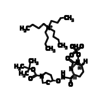 CC(C)(C)OC(=O)N1CCC(ONC(=O)[C@@H]2CC[C@@H]3CN2C(=O)N3OS(=O)(=O)O)CC1.CCCC[N+](CCCC)(CCCC)CCCC